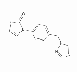 O=c1[nH]ccn1-c1ccc(Cn2ccnn2)cc1